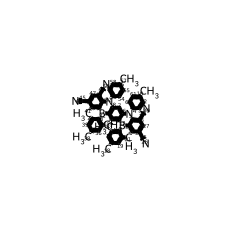 Cc1ccc(N2c3cc4c(cc3B(c3c(C)cc(C)cc3C)c3cc(C#N)cc(C#N)c32)B(c2c(C)cc(C)cc2C)c2cc(C#N)cc(C#N)c2N4c2ccc(C)cc2)cc1